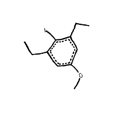 CCc1cc(OC)cc(CC)c1I